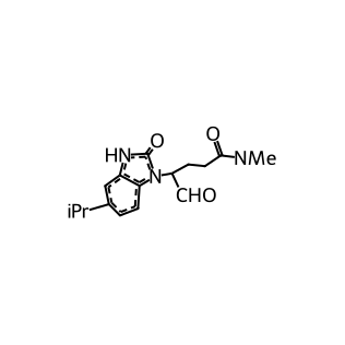 CNC(=O)CCC(C=O)n1c(=O)[nH]c2cc(C(C)C)ccc21